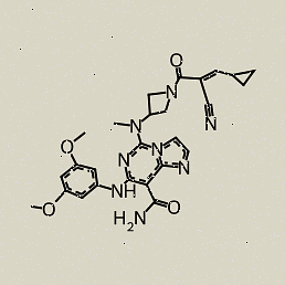 COc1cc(Nc2nc(N(C)C3CN(C(=O)C(C#N)=CC4CC4)C3)n3ccnc3c2C(N)=O)cc(OC)c1